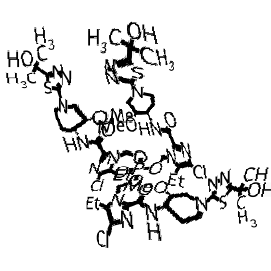 CCc1c(Cl)nc(C(=O)N[C@@H]2CCN(c3nnc(C(C)(C)O)s3)C[C@@H]2OC)n1COP(=O)(OCn1c(C(=O)N[C@@H]2CCN(c3nnc(C(C)(C)O)s3)C[C@@H]2OC)nc(Cl)c1CC)OCn1c(C(=O)N[C@@H]2CCN(c3nnc(C(C)(C)O)s3)C[C@@H]2OC)nc(Cl)c1CC